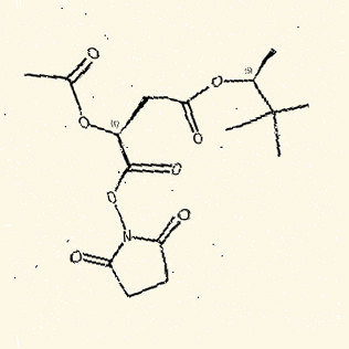 CC(=O)O[C@@H](CC(=O)O[C@@H](C)C(C)(C)C)C(=O)ON1C(=O)CCC1=O